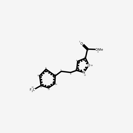 COC(=O)c1cc(CCc2ccc(C(F)(F)F)cc2)no1